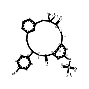 CC1(N)Cc2cccc(c2)CCC(c2ccc(F)cc2)NC(=O)c2cc(cc(OS(C)(=O)=O)c2)COC1=O